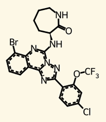 O=C1NCCCC[C@@H]1Nc1nc2c(Br)cccc2c2nc(-c3ccc(Cl)cc3OC(F)(F)F)nn12